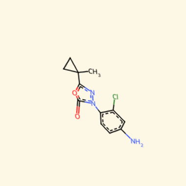 CC1(c2nn(-c3ccc(N)cc3Cl)c(=O)o2)CC1